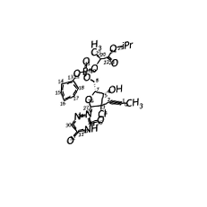 CC#CC1(Cl)[C@@H](O)[C@@H](COP(=O)(Oc2ccccc2)O[C@@H](C)C(=O)OC(C)C)O[C@H]1n1ncc(=O)[nH]c1=O